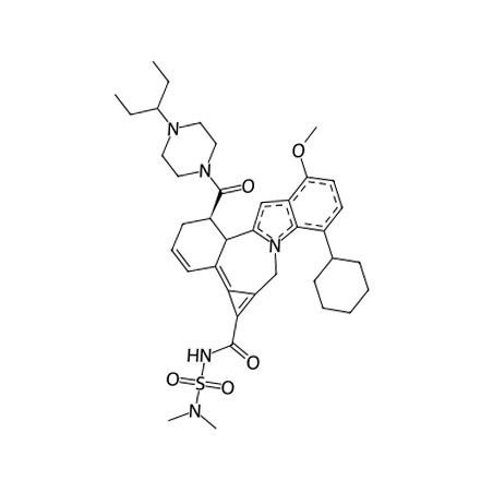 CCC(CC)N1CCN(C(=O)[C@@H]2CC=CC3=C4C(=C4C(=O)NS(=O)(=O)N(C)C)Cn4c(cc5c(OC)ccc(C6CCCCC6)c54)C32)CC1